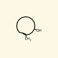 C/C1=C\CCCCCCCCCCCC(O)CC1